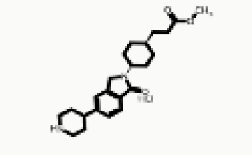 COC(=O)CC[C@H]1CC[C@H](N2Cc3cc(C4CCNCC4)ccc3C2=O)CC1.Cl